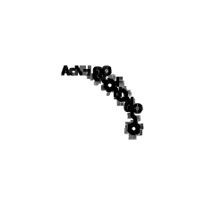 CC(=O)NC[C@H]1CN(c2ccc(N3CCC(=NOC(=O)CCc4ccccc4)CC3)c(F)c2)C(=O)O1